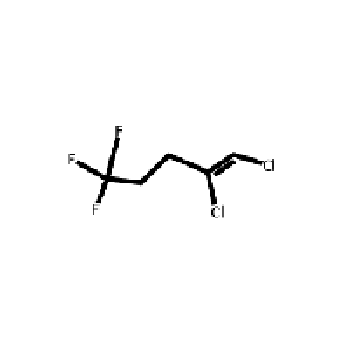 FC(F)(F)CC/C(Cl)=C/Cl